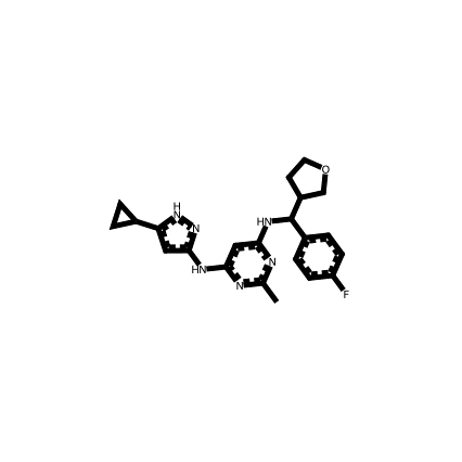 Cc1nc(Nc2cc(C3CC3)[nH]n2)cc(NC(c2ccc(F)cc2)C2CCOC2)n1